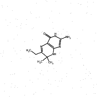 CCC1=Nc2c(nc(N)[nH]c2=O)NC1(C)C